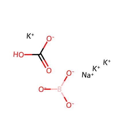 O=C([O-])O.[K+].[K+].[K+].[Na+].[O-]B([O-])[O-]